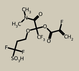 C=C(F)C(=O)OC(OCCC(F)(F)S(=O)(=O)O)(C(=O)N(C)C)C(F)(F)F